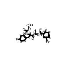 CC(C)(C)OC(=O)NC(C)(Cc1ccc(F)cc1)C(=O)NNC(=O)c1cc(Br)ccc1F